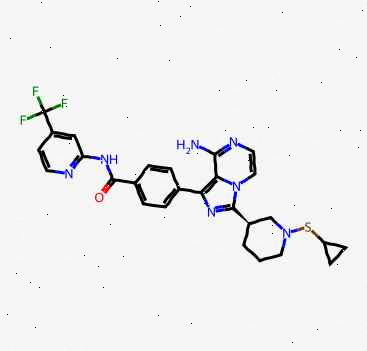 Nc1nccn2c([C@@H]3CCCN(SC4CC4)C3)nc(-c3ccc(C(=O)Nc4cc(C(F)(F)F)ccn4)cc3)c12